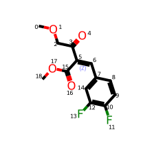 COCC(=O)/C(=C/c1ccc(F)c(F)c1)C(=O)OC